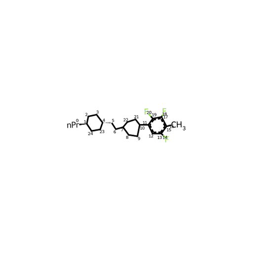 CCC[C@H]1CC[C@H](CCC2CCC(c3cc(F)c(C)c(F)c3F)CC2)CC1